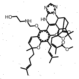 COC(=O)/C(C)=C\CC12OC(C)(C)C3CC(C1=O)C1C4=C(Nc5ncnn51)c1c(OCNCCO)c5c(c(CC=C(C)C)c1OC432)OC(C)(CCC=C(C)C)C=C5